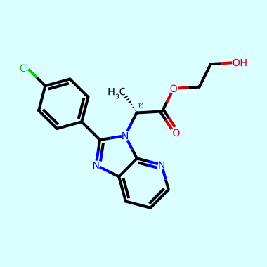 C[C@H](C(=O)OCCO)n1c(-c2ccc(Cl)cc2)nc2cccnc21